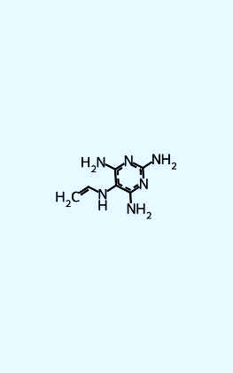 C=CNc1c(N)nc(N)nc1N